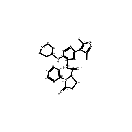 Cc1noc(C)c1-c1ccc(NC2CCSCC2)c(NC(=O)C2CCC(=O)N2c2ccccc2)c1